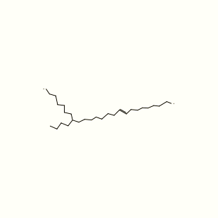 [CH2]CCCCCCC/C=C/CCCCCCCC(CCCC)CCCCCC[CH2]